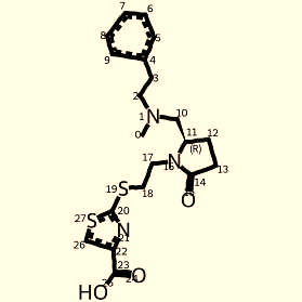 CN(CCc1ccccc1)C[C@H]1CCC(=O)N1CCSc1nc(C(=O)O)cs1